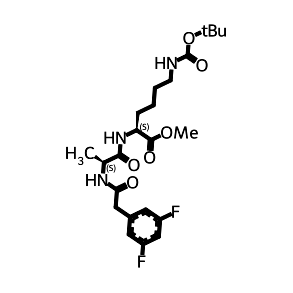 COC(=O)[C@H](CCCCNC(=O)OC(C)(C)C)NC(=O)[C@H](C)NC(=O)Cc1cc(F)cc(F)c1